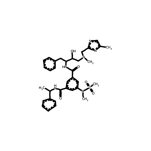 Cc1csc(CN(C)CC(O)C(Cc2ccccc2)NC(=O)c2cc(C(=O)NC(C)c3ccccc3)cc(N(C)S(C)(=O)=O)c2)n1